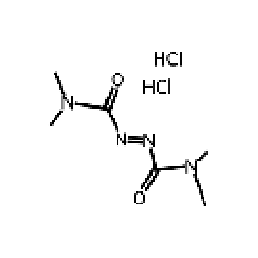 CN(C)C(=O)N=NC(=O)N(C)C.Cl.Cl